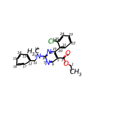 CCOC(=O)c1cnc(N(C)Cc2ccccc2)nc1-c1ccccc1Cl